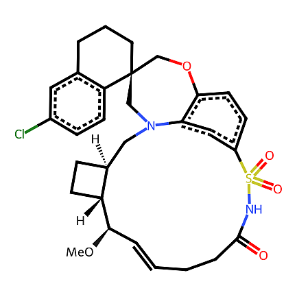 CO[C@@H]1/C=C/CCC(=O)NS(=O)(=O)c2ccc3c(c2)N(C[C@@H]2CC[C@H]21)C[C@@]1(CCCc2cc(Cl)ccc21)CO3